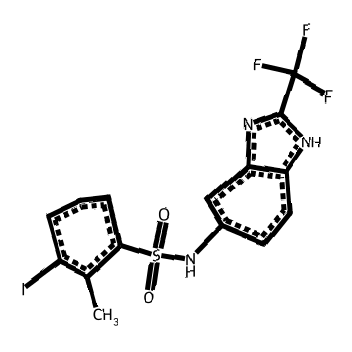 Cc1c(I)cccc1S(=O)(=O)Nc1ccc2[nH]c(C(F)(F)F)nc2c1